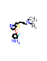 CCN(CC)CC#CCc1cc2nccc(Oc3ccc(N)cc3F)c2s1